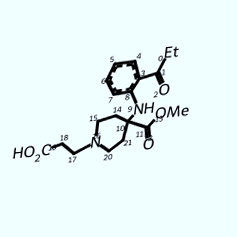 CCC(=O)c1ccccc1NC1(C(=O)OC)CCN(CCC(=O)O)CC1